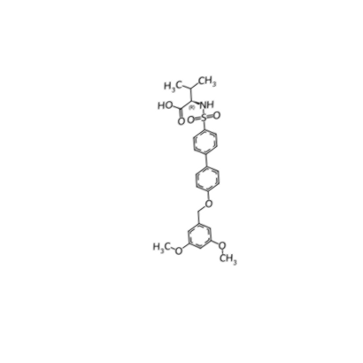 COc1cc(COc2ccc(-c3ccc(S(=O)(=O)N[C@@H](C(=O)O)C(C)C)cc3)cc2)cc(OC)c1